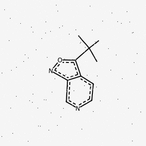 CC(C)(C)c1onc2cnccc12